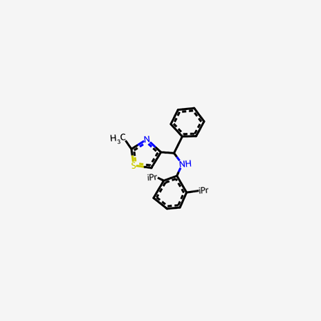 Cc1nc(C(Nc2c(C(C)C)cccc2C(C)C)c2ccccc2)cs1